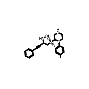 O=S(=O)(CC(C#Cc1ccccc1)NO)C1CNCCN1c1ccc(F)cc1